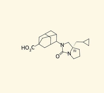 O=C1N(C2C3CC4CC2CC(C(=O)O)(C4)C3)C[C@@]2(CC3CC3)CCCN12